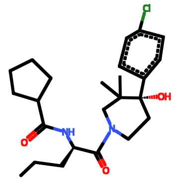 CCC[C@@H](NC(=O)C1CCCC1)C(=O)N1CC[C@](O)(c2ccc(Cl)cc2)C(C)(C)C1